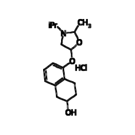 CC(C)N1CC(Oc2cccc3c2CCC(O)C3)OC1C.Cl